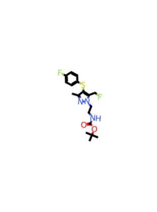 Cc1nn(CCNC(=O)OC(C)(C)C)c(CF)c1Sc1ccc(F)cc1